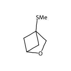 CSC12COC(C1)C2